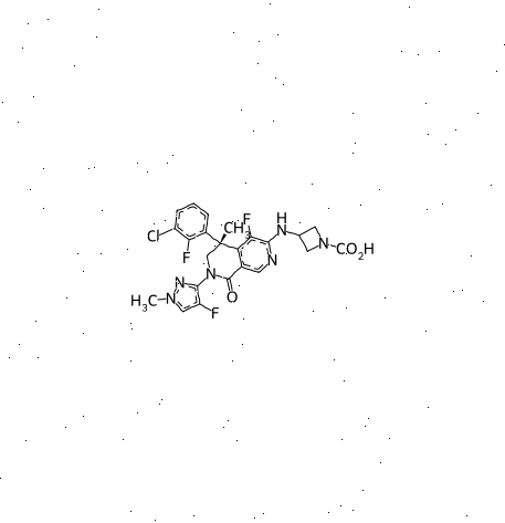 Cn1cc(F)c(N2C[C@](C)(c3cccc(Cl)c3F)c3c(cnc(NC4CN(C(=O)O)C4)c3F)C2=O)n1